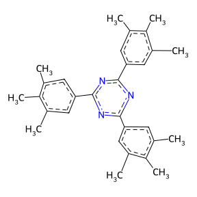 Cc1cc(-c2nc(-c3cc(C)c(C)c(C)c3)nc(-c3cc(C)c(C)c(C)c3)n2)cc(C)c1C